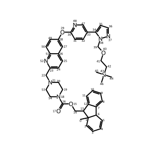 CC12C=CC=CC1c1ccccc1C2COC(=O)N1CCN(Cc2ccc3cc(Oc4ccc(-c5ccnn5COCC[Si](C)(C)C)cn4)ccc3n2)CC1